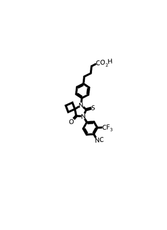 [C-]#[N+]c1ccc(N2C(=O)C3(CCC3)N(c3ccc(CCCC(=O)O)cc3)C2=S)cc1C(F)(F)F